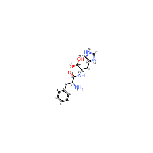 N[C@@H](Cc1ccccc1)C(=O)N[C@H](Cc1c[nH]cn1)C(=O)O